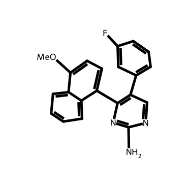 COc1ccc(-c2nc(N)ncc2-c2cccc(F)c2)c2ccccc12